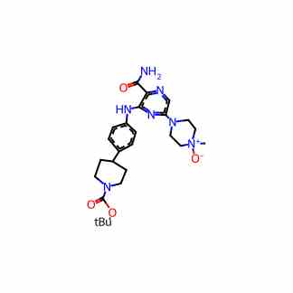 CC(C)(C)OC(=O)N1CCC(c2ccc(Nc3nc(N4CC[N+](C)([O-])CC4)cnc3C(N)=O)cc2)CC1